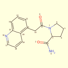 NC(=O)C1CCCN1C(=O)Cc1cccc2ncccc12